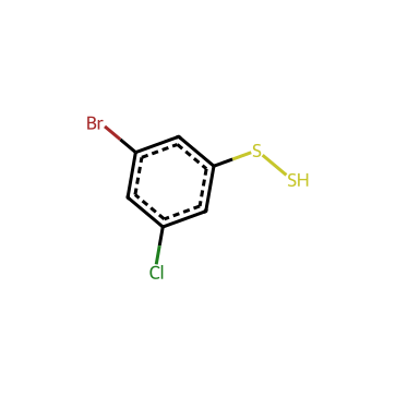 SSc1cc(Cl)cc(Br)c1